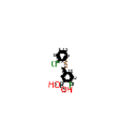 OB(O)c1cc(CSc2ccccc2Cl)ccc1F